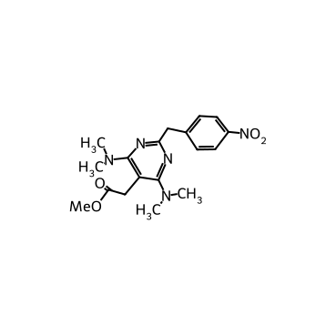 COC(=O)Cc1c(N(C)C)nc(Cc2ccc([N+](=O)[O-])cc2)nc1N(C)C